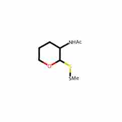 CSSC1OCCCC1NC(C)=O